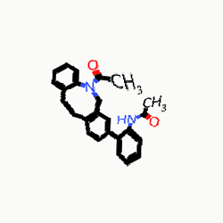 CC(=O)Nc1ccccc1-c1ccc2c(c1)CN(C(C)=O)c1ccccc1/C=C\2